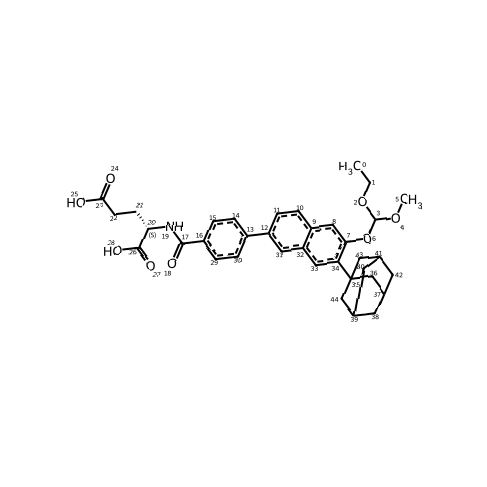 CCOC(OC)Oc1cc2ccc(-c3ccc(C(=O)N[C@@H](CCC(=O)O)C(=O)O)cc3)cc2cc1C12CC3CC(CC(C3)C1)C2